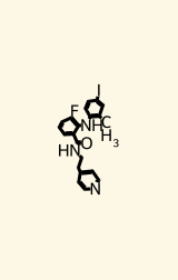 Cc1cc(I)ccc1Nc1c(F)cccc1C(=O)NCCc1ccncc1